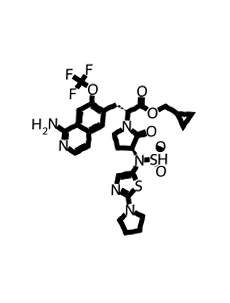 Nc1nccc2cc(C[C@H](C(=O)OCC3CC3)N3CC[C@H](N(c4cnc(N5CCCC5)s4)[SH](=O)=O)C3=O)c(OC(F)(F)F)cc12